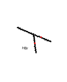 Br.CCCCCCCCCCCCCCCCCCN(CCCCCCCCCCCCCCCCCC)CCCCCCCCCCCCCCCCCC